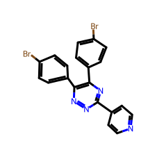 Brc1ccc(-c2nnc(-c3ccncc3)nc2-c2ccc(Br)cc2)cc1